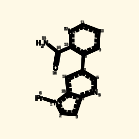 CC(C)n1ccc2ncc(-c3cccnc3C(N)=O)cc21